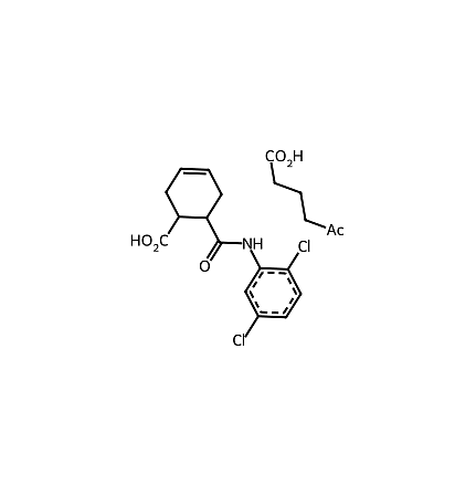 CC(=O)CCCC(=O)O.O=C(O)C1CC=CCC1C(=O)Nc1cc(Cl)ccc1Cl